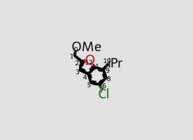 COCc1cc2cc(Cl)cc(C(C)C)c2o1